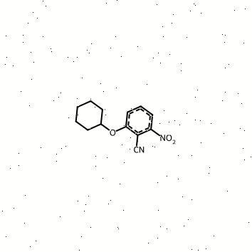 N#Cc1c(OC2[CH][CH]CCC2)cccc1[N+](=O)[O-]